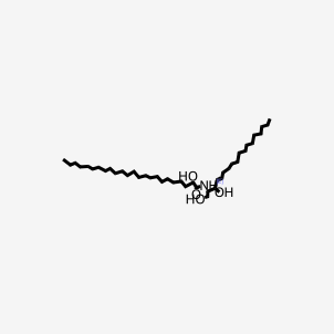 CCCCCCCCCCCCC/C=C/C(O)C(CO)NC(=O)C(O)CCCCCCCCCCCCCCCCCCCCCC